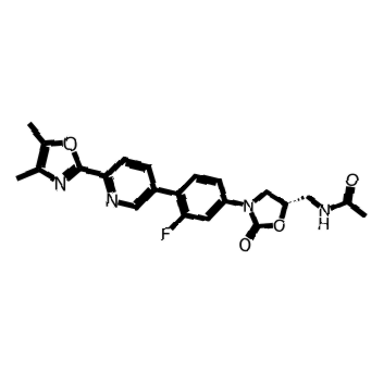 CC(=O)NC[C@H]1CN(c2ccc(-c3ccc(-c4nc(C)c(C)o4)nc3)c(F)c2)C(=O)O1